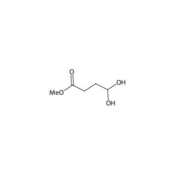 COC(=O)CCC(O)O